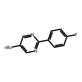 CCCCc1cnc(-c2ccc(F)cc2)nc1